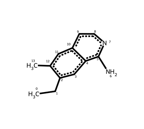 CCc1cc2c(N)nccc2cc1C